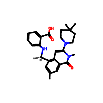 Cc1cc([C@H](C)Nc2ccccc2C(=O)O)c2cc(N3CCC(C)(C)CC3)n(C)c(=O)c2c1